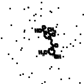 CC1C(=O)N(CCC(=O)N2C[C@@H](C)C[C@H](O)C2)CCN1C(=O)O